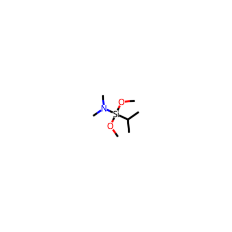 CO[Si](OC)(C(C)C)N(C)C